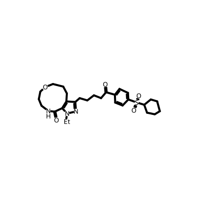 CCn1nc(CCCCC(=O)c2ccc(S(=O)(=O)C3CCCCC3)cc2)c2c1C(=O)NCCCOCCC2